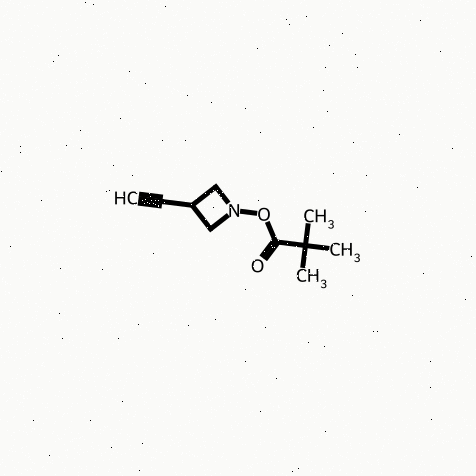 C#CC1CN(OC(=O)C(C)(C)C)C1